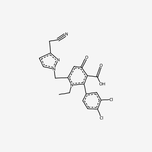 CCn1c(Cn2ccc(CC#N)n2)cc(=O)c(C(=O)O)c1-c1ccc(Cl)c(Cl)c1